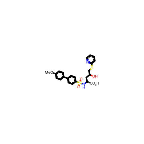 COc1ccc(-c2ccc(S(=O)(=O)NC(CC(O)CSc3ccccn3)C(=O)O)cc2)cc1